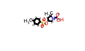 Cc1ccc(S(=O)(=O)O[C@@H]2C[C@@H](C)N(C(=O)O)C2)cc1